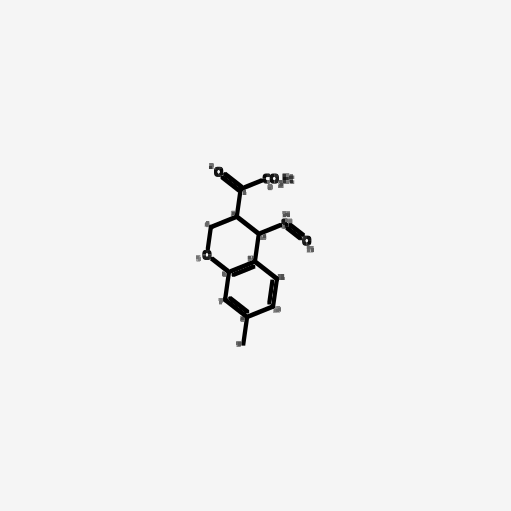 CCOC(=O)C(=O)C1COc2cc(C)ccc2C1[S+]=O